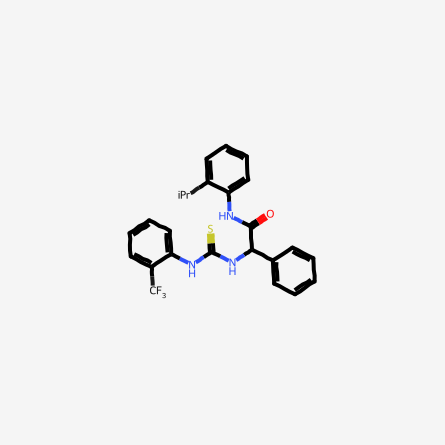 CC(C)c1ccccc1NC(=O)C(NC(=S)Nc1ccccc1C(F)(F)F)c1ccccc1